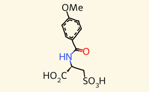 COc1ccc(C(=O)N[C@@H](CS(=O)(=O)O)C(=O)O)cc1